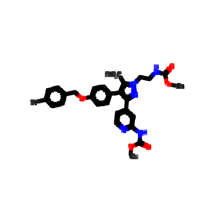 CCOC(=O)c1c(-c2ccc(OCc3ccc(C(C)C)cc3)cc2)c(-c2ccnc(NC(=O)OC(C)(C)C)c2)nn1CCNC(=O)OC(C)(C)C